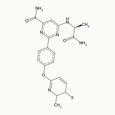 CC1N=C(Oc2ccc(-c3nc(N[C@@H](C)C(N)=O)cc(C(N)=O)n3)cc2)C=CC1F